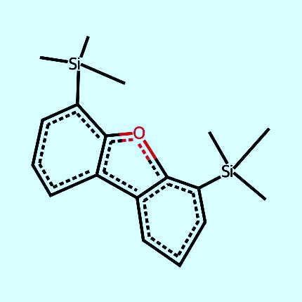 C[Si](C)(C)c1cccc2c1oc1c([Si](C)(C)C)cccc12